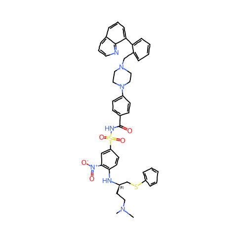 CN(C)CC[C@H](CSc1ccccc1)Nc1ccc(S(=O)(=O)NC(=O)c2ccc(N3CCN(Cc4ccccc4-c4cccc5cccnc45)CC3)cc2)cc1[N+](=O)[O-]